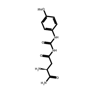 COc1ccc(NC(=O)NC(=O)C[C@H](N)C(N)=O)cc1